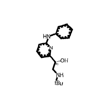 CC(C)(C)NC[C@@H](O)c1cccc(Nc2ccccc2)n1